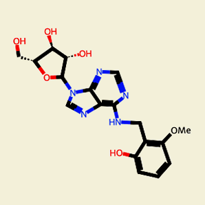 COc1cccc(O)c1CNc1ncnc2c1ncn2C1O[C@H](CO)[C@@H](O)[C@@H]1O